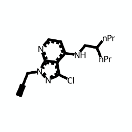 C#CCn1nc(Cl)c2c(NCC(CCC)CCC)ccnc21